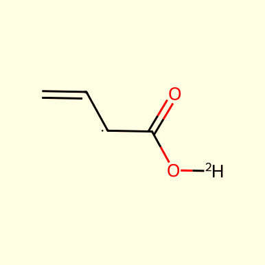 [2H]OC(=O)[CH]C=C